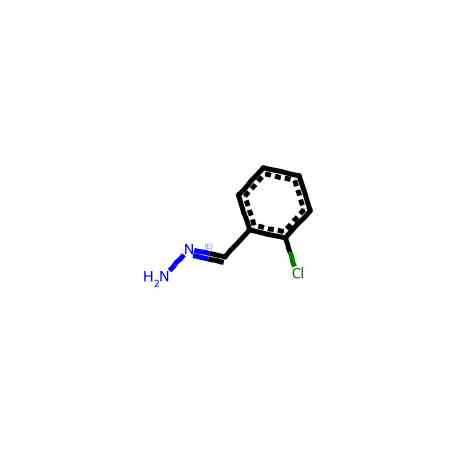 N/N=C/c1ccccc1Cl